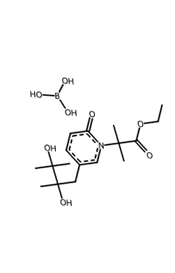 CCOC(=O)C(C)(C)n1cc(CC(C)(O)C(C)(C)O)ccc1=O.OB(O)O